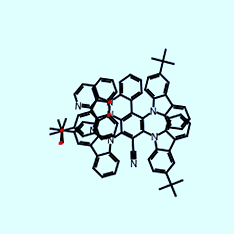 CC(C)(C)c1ccc2c(c1)c1ccccc1n2-c1c(C#N)c(-n2c3ccccc3c3cc(C(C)(C)C)ccc32)c(-n2c3ccccc3c3cc(C(C)(C)C)ccc32)c(-c2ccccc2-n2c3cccnc3c3ncccc32)c1-n1c2ccccc2c2cc(C(C)(C)C)ccc21